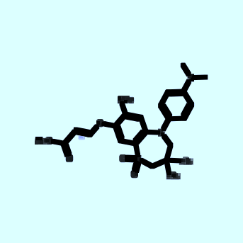 CCCCC1(CCCC)CN(c2ccc(N(C)C)cc2)c2cc(SC)c(O/C=C/C(=O)OC)cc2S(=O)(=O)C1